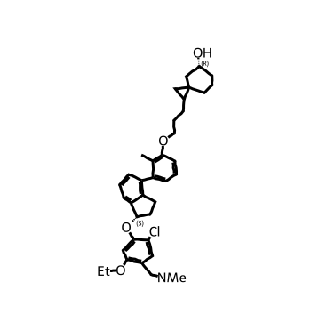 CCOc1cc(O[C@H]2CCc3c(-c4cccc(OCCCC5CC56CCC[C@@H](O)C6)c4C)cccc32)c(Cl)cc1CNC